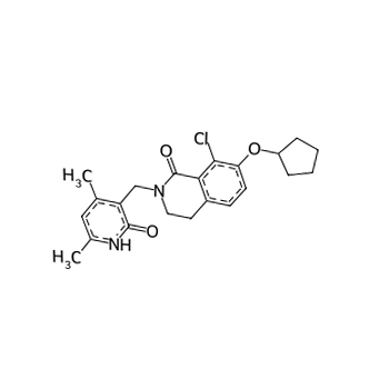 Cc1cc(C)c(CN2CCc3ccc(OC4CCCC4)c(Cl)c3C2=O)c(=O)[nH]1